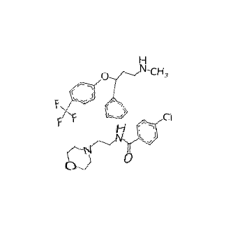 CNCCC(Oc1ccc(C(F)(F)F)cc1)c1ccccc1.O=C(NCCN1CCOCC1)c1ccc(Cl)cc1